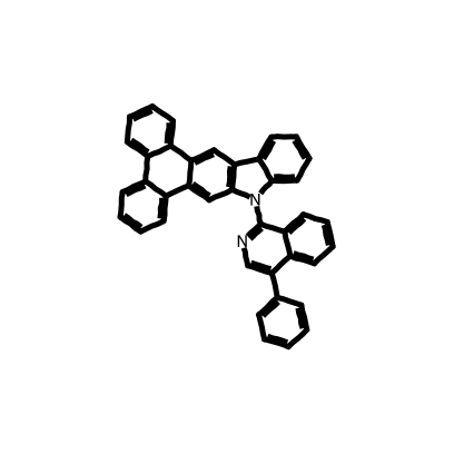 c1ccc(-c2cnc(-n3c4ccccc4c4cc5c6ccccc6c6ccccc6c5cc43)c3ccccc23)cc1